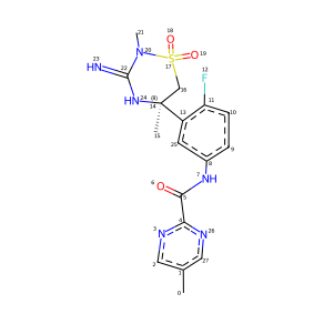 Cc1cnc(C(=O)Nc2ccc(F)c([C@]3(C)CS(=O)(=O)N(C)C(=N)N3)c2)nc1